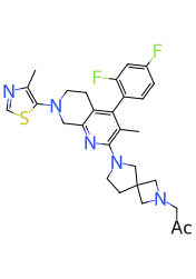 CC(=O)CN1CC2(CCN(c3nc4c(c(-c5ccc(F)cc5F)c3C)CCN(c3scnc3C)C4)C2)C1